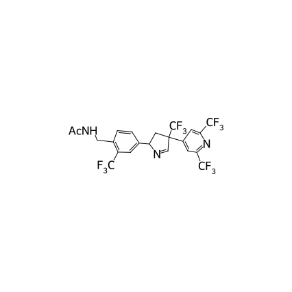 CC(=O)NCc1ccc(C2CC(c3cc(C(F)(F)F)nc(C(F)(F)F)c3)(C(F)(F)F)C=N2)cc1C(F)(F)F